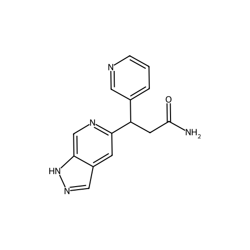 NC(=O)CC(c1cccnc1)c1cc2cn[nH]c2cn1